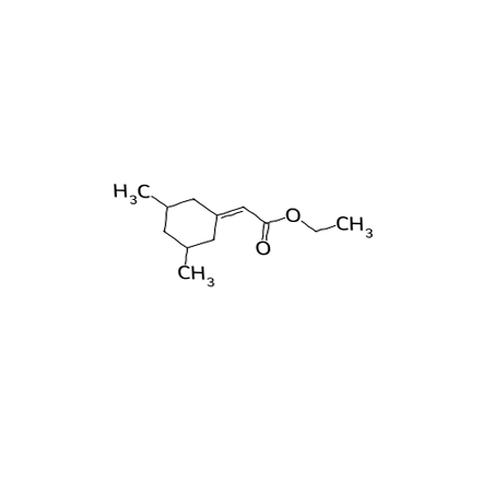 CCOC(=O)C=C1CC(C)CC(C)C1